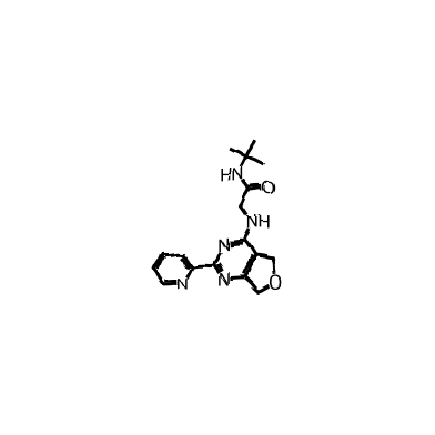 CC(C)(C)NC(=O)CNc1nc(-c2ccccn2)nc2c1COC2